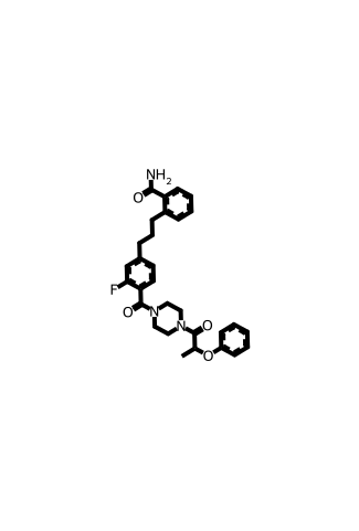 CC(Oc1ccccc1)C(=O)N1CCN(C(=O)c2ccc(CCCc3ccccc3C(N)=O)cc2F)CC1